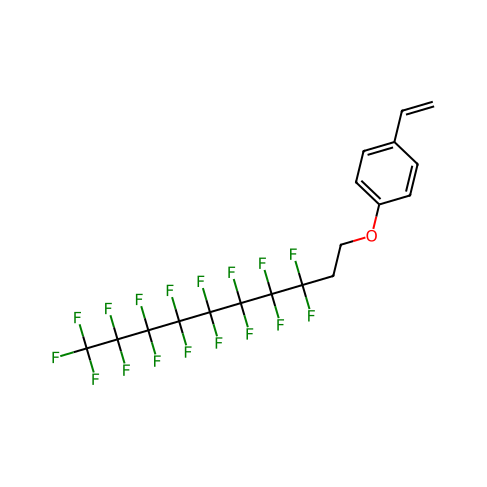 C=Cc1ccc(OCCC(F)(F)C(F)(F)C(F)(F)C(F)(F)C(F)(F)C(F)(F)C(F)(F)C(F)(F)F)cc1